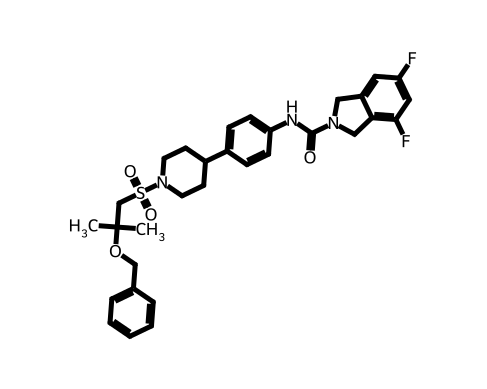 CC(C)(CS(=O)(=O)N1CCC(c2ccc(NC(=O)N3Cc4cc(F)cc(F)c4C3)cc2)CC1)OCc1ccccc1